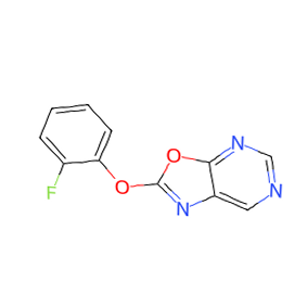 Fc1ccccc1Oc1nc2cncnc2o1